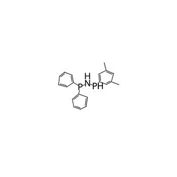 Cc1cc(C)cc(PNP(c2ccccc2)c2ccccc2)c1